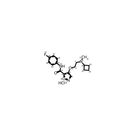 CN(CCOc1cnoc1C(=O)Nc1ccc(F)cc1)C1CCC1.Cl